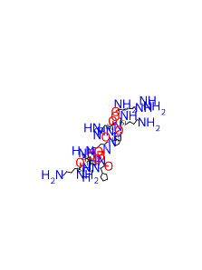 N=C(N)NCC/C=C(\NC(=O)[C@H](CCCCN)NC(=O)[C@H](Cc1cnc[nH]1)NC(=O)[C@@H]1CCCN1C(=O)/C(CCCN)=N/C(=O)CNC(=O)C(NC(=O)[C@@H](NC(=O)[C@@H](N)CCCCN)[C@@H](O)CN)C1CCCC1)C(N)=O